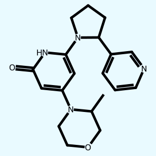 CC1COCCN1c1cc(N2CCCC2c2cccnc2)[nH]c(=O)c1